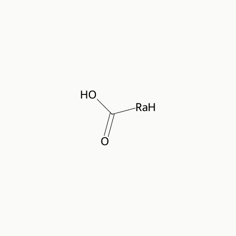 O=[C](O)[RaH]